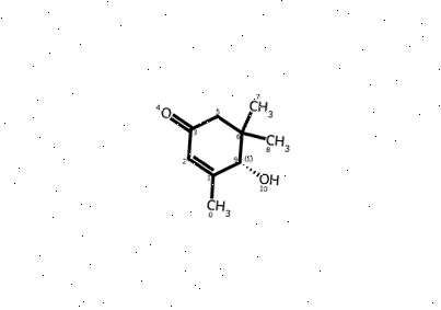 CC1=CC(=O)CC(C)(C)[C@@H]1O